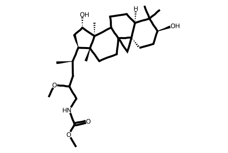 COC(=O)NCC(C[C@@H](C)[C@H]1C[C@H](O)[C@@]2(C)C3CC[C@H]4C(C)(C)[C@@H](O)CC[C@@]45CC35CC[C@]12C)OC